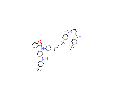 CC(C)(C)c1ccc(Nc2cccc(Nc3ccc(C(C)(C)CCCC(C)(C)c4ccc(N(c5cccc(Nc6ccc(C(C)(C)C)cc6)c5)c5coc6ccccc56)cc4)cc3)c2)cc1